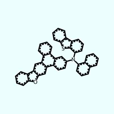 c1ccc2c(N(c3ccc4c(c3)c3ccccc3c3cc5c(cc43)oc3ccccc35)c3cccc4c3sc3ccccc34)cccc2c1